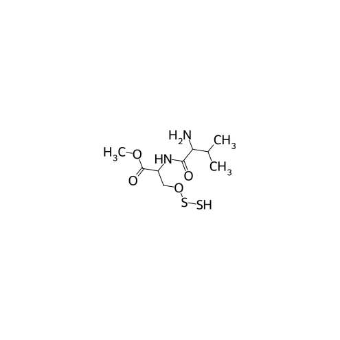 COC(=O)C(COSS)NC(=O)C(N)C(C)C